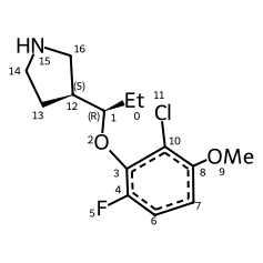 CC[C@@H](Oc1c(F)ccc(OC)c1Cl)[C@H]1CCNC1